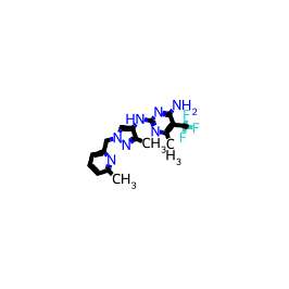 Cc1cccc(Cn2cc(Nc3nc(C)c(C(F)(F)F)c(N)n3)c(C)n2)n1